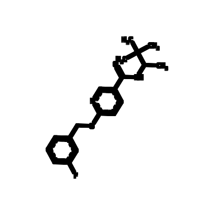 CC(NC(=O)c1ccc(OCc2cccc(F)c2)nc1)C(C)(C)C